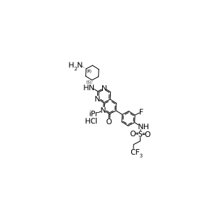 CC(C)n1c(=O)c(-c2ccc(NS(=O)(=O)CCC(F)(F)F)c(F)c2)cc2cnc(N[C@H]3CCC[C@@H](N)C3)nc21.Cl